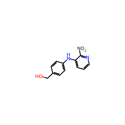 O=[N+]([O-])c1ncccc1Nc1ccc(CO)cc1